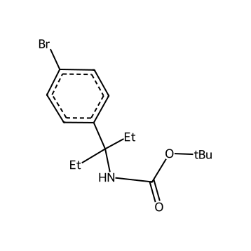 CCC(CC)(NC(=O)OC(C)(C)C)c1ccc(Br)cc1